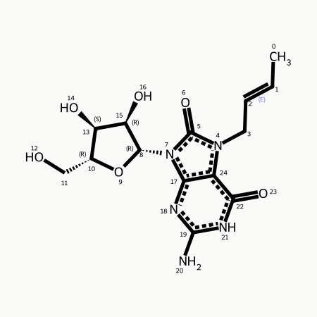 C/C=C/Cn1c(=O)n([C@@H]2O[C@H](CO)[C@@H](O)[C@H]2O)c2nc(N)[nH]c(=O)c21